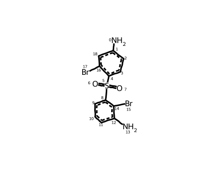 Nc1ccc(S(=O)(=O)c2cccc(N)c2Br)c(Br)c1